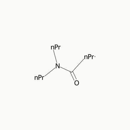 CC[CH]C(=O)N(CCC)CCC